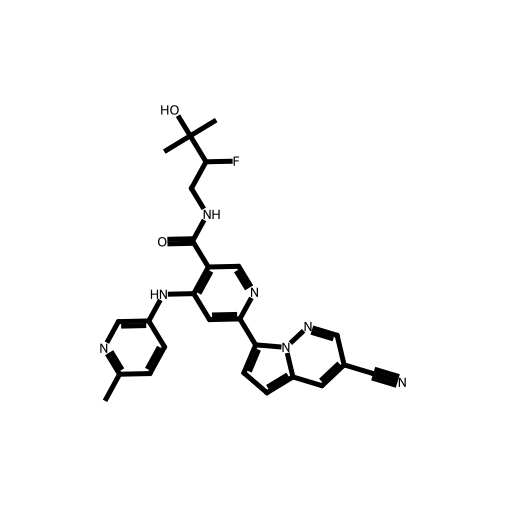 Cc1ccc(Nc2cc(-c3ccc4cc(C#N)cnn34)ncc2C(=O)NCC(F)C(C)(C)O)cn1